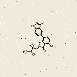 Cc1n[nH]c2ccc(-c3ccc(N)c4c3CN(CC3(C(N)O)CO3)C4=O)cc12